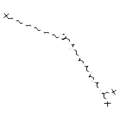 CC(C)(C)CCOCCOCCOCCOCCOCCn1cc(COC(=O)NCCNC(=O)CNC(=O)CNC(=O)CNC(=O)CON=C(CSC(C)(C)C)CSC(C)(C)C)nn1